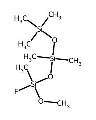 CO[Si](C)(F)O[Si](C)(C)O[Si](C)(C)C